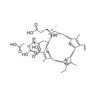 C=CC1=C(C)C2=CC3NC(C(CC(=O)N[C@@H](CC(=O)O)C(=O)O)=C4N=C(C=c5[nH]c(c(C)c5CC)=CC1=N2)C(C)=C4C(=O)O)[C@@H](CCC(=O)O)[C@@H]3C